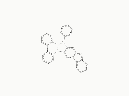 c1ccc(N2B3c4ccccc4-c4ccccc4N3c3cc4c(cc32)sc2ccccc24)cc1